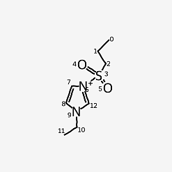 CCCS(=O)(=O)[n+]1ccn(CC)c1